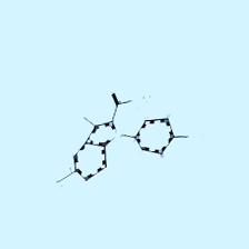 COC(=O)c1c(O)c2cc(Cl)ccc2n1-c1ccc(F)cc1